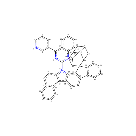 c1cncc(-c2nc(-n3c4ccc5ccccc5c4c4ccc5c(c43)C3(c4ccccc4-5)C4CC5CC(C4)CC3C5)nc3ccccc23)c1